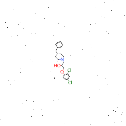 OC(COc1ccc(Cl)cc1Cl)CN1CCC(Cc2ccccc2)CC1